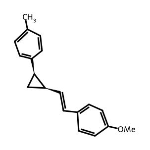 COc1ccc(/C=C/[C@H]2C[C@H]2c2ccc(C)cc2)cc1